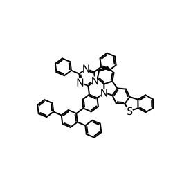 c1ccc(-c2ccc(-c3ccccc3)c(-c3ccc(-n4c5ccccc5c5cc6c(cc54)sc4ccccc46)c(-c4nc(-c5ccccc5)nc(-c5ccccc5)n4)c3)c2)cc1